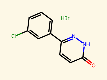 Br.O=c1ccc(-c2cccc(Cl)c2)n[nH]1